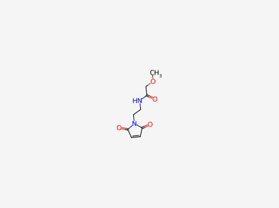 COCC(=O)NCCN1C(=O)C=CC1=O